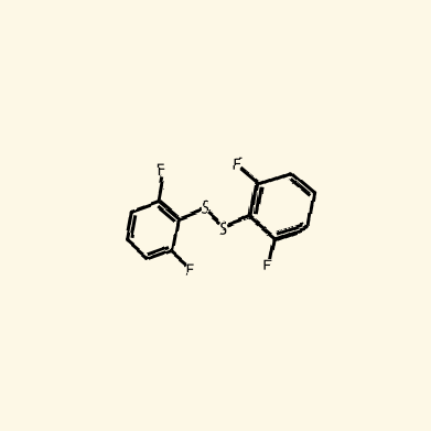 Fc1cccc(F)c1SSc1c(F)cccc1F